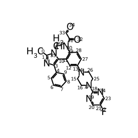 Cc1nc(-c2ccccc2)c(-c2cc(N3CCN(c4ncc(F)cn4)CC3)ccc2NC(=O)C=O)n1C